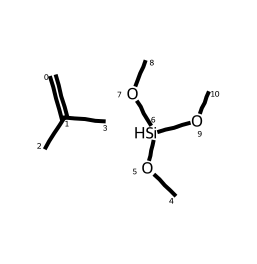 C=C(C)C.CO[SiH](OC)OC